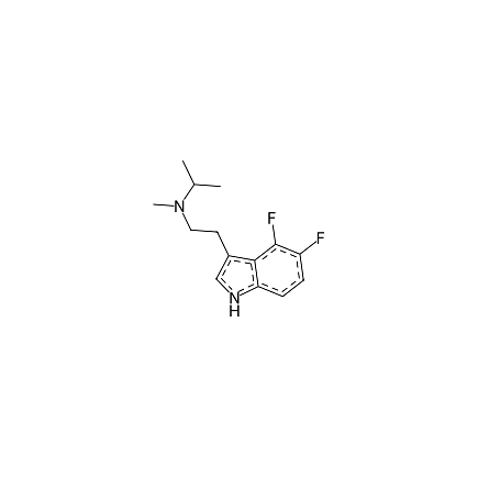 CC(C)N(C)CCc1c[nH]c2ccc(F)c(F)c12